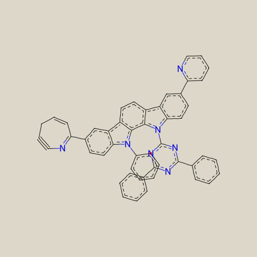 C1#CN=C(c2ccc3c(c2)c2ccc4c5cc(-c6ccccn6)ccc5n(-c5nc(-c6ccccc6)nc(-c6ccccc6)n5)c4c2n3-c2ccccc2)C=CC1